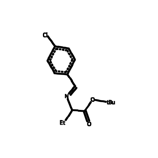 CCC(N=Cc1ccc(Cl)cc1)C(=O)OC(C)(C)C